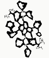 CC(C)c1cc2c3c(c1)N(c1ccccc1)c1ccccc1B3c1cc3c(-c4ccccc4-c4ccccc4)cc4c5c(cc6c(-c7ccccc7-c7ccccc7)cc-2c1c6c35)B1c2ccccc2N(c2ccccc2)c2cc(C(C)C)cc-4c21